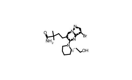 CC(C)(CCc1cn2ncc(Br)c2nc1N1CCCC[C@H]1CCO)C(N)=O